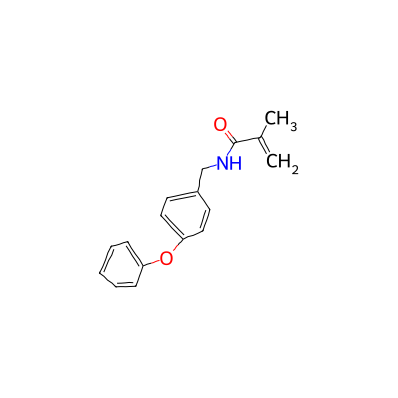 C=C(C)C(=O)NCc1ccc(Oc2ccccc2)cc1